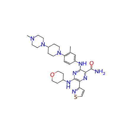 Cc1cc(Nc2nc(NC3CCOCC3)c(-c3ccsn3)nc2C(N)=O)ccc1N1CCC(N2CCN(C)CC2)CC1